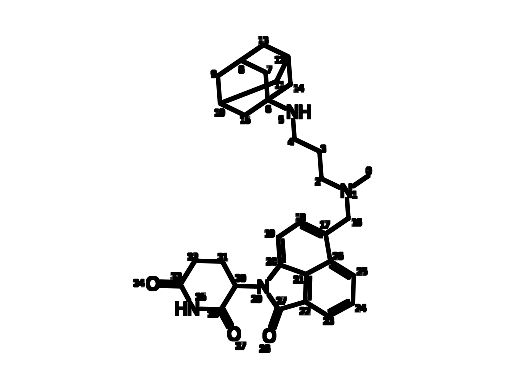 CN(CCCNC12CC3CC(CC(C3)C1)C2)Cc1ccc2c3c(cccc13)C(=O)N2C1CCC(=O)NC1=O